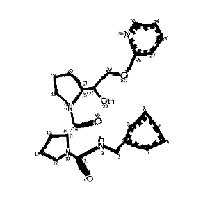 O=C(NCc1ccccc1)N1CCC[C@@H]1C(=O)N1CCC[C@H]1C(O)COc1ccccn1